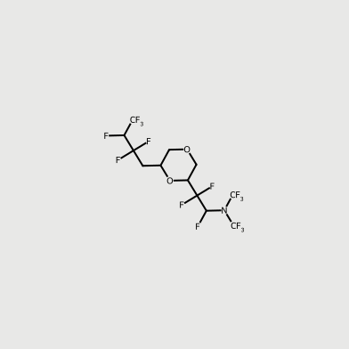 FC(C(F)(F)F)C(F)(F)CC1COCC(C(F)(F)C(F)N(C(F)(F)F)C(F)(F)F)O1